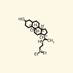 CCN(CC)CCNC(C)[C@H]1CC[C@H]2[C@@H]3CCC4CC(O)CC[C@]4(C)[C@H]3CC[C@]12C